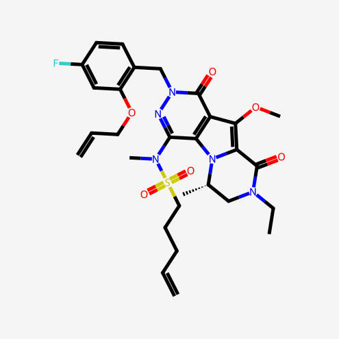 C=CCCCS(=O)(=O)N(C)c1nn(Cc2ccc(F)cc2OCC=C)c(=O)c2c(OC)c3n(c12)[C@@H](C)CN(CC)C3=O